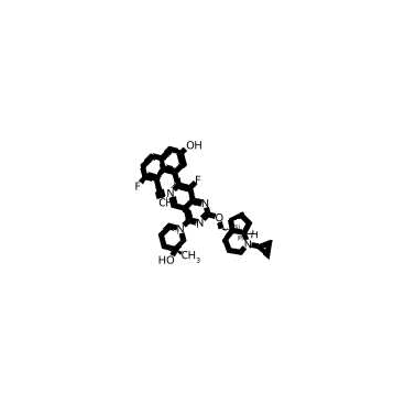 C#Cc1c(F)ccc2cc(O)cc(-c3ncc4c(N5CCC[C@@](C)(O)C5)nc(OC[C@]56CCC[C@H]5N(C5CC5)CCC6)nc4c3F)c12